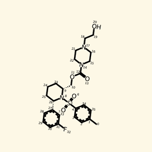 Cc1ccc(S(=O)(=O)N2[C@@H](COC(=O)N3CCN(CCO)CC3)CCC[C@H]2c2cccc(F)c2)cc1